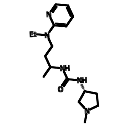 CCN(CCC(C)NC(=O)N[C@@H]1CCN(C)C1)c1ccccn1